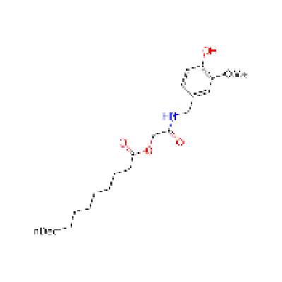 CCCCCCCCCCCCCCCCCC(=O)OCC(=O)NCc1ccc(O)c(OC)c1